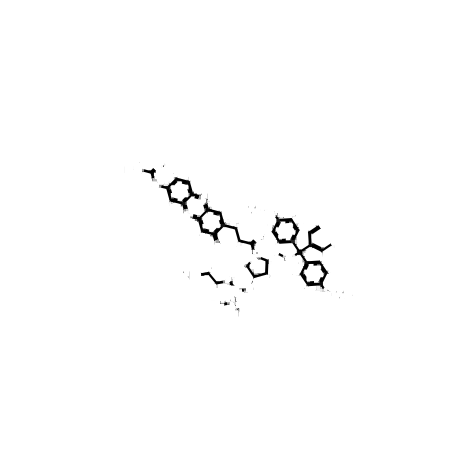 C=CC(=CC)C(OC[C@@H]1C[C@@H](OP(OCCC#N)N(CC)CCC)CN1C(=O)CCc1cc2nc3ccc(OC(=O)C(C)(C)C)cc3oc-2cc1=O)(c1ccc(OC)cc1)c1ccc(OC)cc1